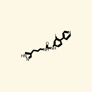 O=C(NCCCc1cn[nH]c1)Nc1ccc(-c2ccncc2)c(I)c1